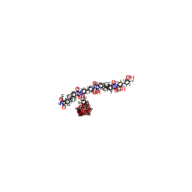 Cc1ccc(-c2ccc(N3C(=O)c4ccc(C(c5ccc6c(c5)C(=O)N(c5ccc(-c7ccc(N8C(=O)c9ccc(C(c%10ccc%11c(c%10)C(=O)N(C)C%11=O)(C(F)(F)F)C(F)(F)F)cc9C8=O)c(OCc8ccc([Si]9%10O[Si]%11(C)O[Si]%12(C)O[Si]%13(C)O[Si](C)(O%11)O[Si](C)(O[Si](C)(O%13)O[Si](C)(O%12)O9)O%10)cc8)c7)cc5O)C6=O)(C(F)(F)F)C(F)(F)F)cc4C3=O)c(O)c2)cc1O